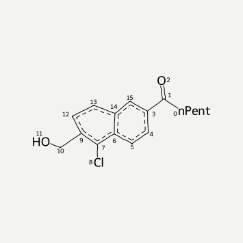 CCCCCC(=O)c1ccc2c(Cl)c(CO)ccc2c1